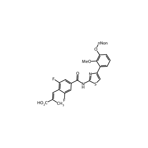 CCCCCCCCCOc1cccc(-c2csc(NC(=O)c3cc(F)c(C=C(C)C(=O)O)c(F)c3)n2)c1OC